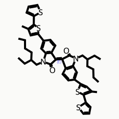 CCCCC(CC)CN1C(=O)/C(=C2/C(=O)N(CC(CC)CCCC)c3cc(-c4cc(C)c(-c5cccs5)s4)ccc32)c2ccc(-c3cc(C)c(-c4cccs4)s3)cc21